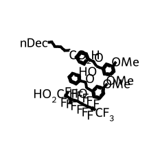 CCCCCCCCCCCCCCCC(=O)O.COc1cc(OC)cc(C(O)C(=O)c2ccccc2)c1.COc1cccc(C(O)C(=O)c2ccccc2)c1.O=C(O)C(F)(F)C(F)(F)C(F)(F)C(F)(F)C(F)(F)C(F)(F)C(F)(F)F